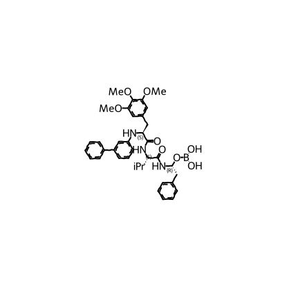 COc1cc(C[C@H](Nc2cccc(-c3ccccc3)c2)C(=O)N[C@H](C(=O)N[C@@H](Cc2ccccc2)OB(O)O)C(C)C)cc(OC)c1OC